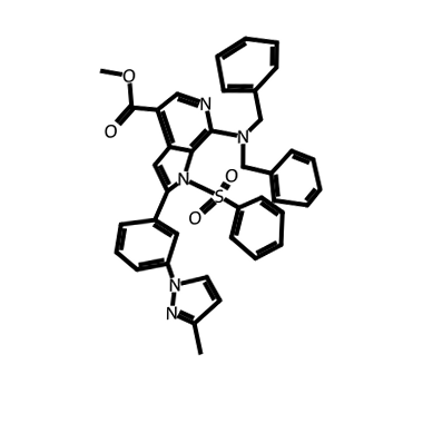 COC(=O)c1cnc(N(Cc2ccccc2)Cc2ccccc2)c2c1cc(-c1cccc(-n3ccc(C)n3)c1)n2S(=O)(=O)c1ccccc1